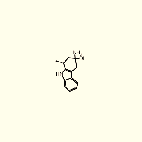 C[C@H]1CC(N)(O)Cc2c1[nH]c1ccccc21